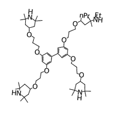 CCCC(CC(C)(C)NCC)OCCCOc1cc(OCCCOC2CC(C)(C)NC(C)(C)C2)cc(-c2cc(OCCCOC3CC(C)(C)NC(C)(C)C3)cc(OCCCOC3CC(C)(C)NC(C)(C)C3)c2)c1